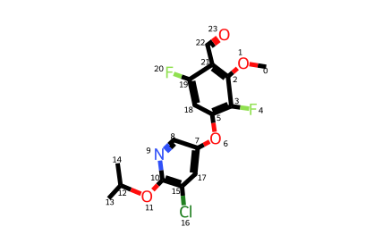 COc1c(F)c(Oc2cnc(OC(C)C)c(Cl)c2)cc(F)c1C=O